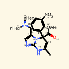 CCCCCCN(CCCCCC)Cc1cnc2n1C(C(=O)OC)(c1cccc([N+](=O)[O-])c1)C=C(C)N2